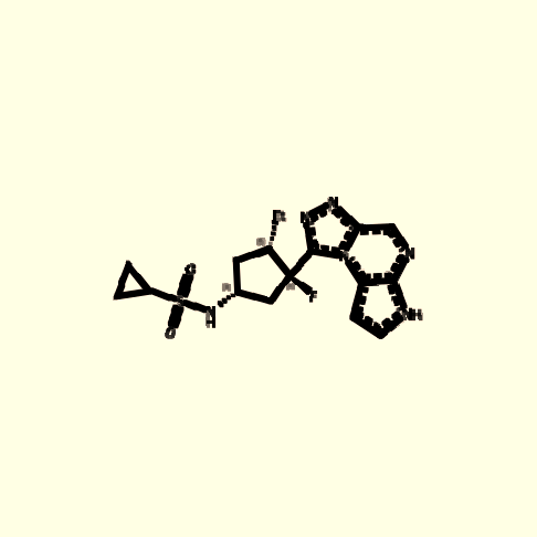 CC[C@H]1C[C@@H](NS(=O)(=O)C2CC2)C[C@@]1(F)c1nnc2cnc3[nH]ccc3n12